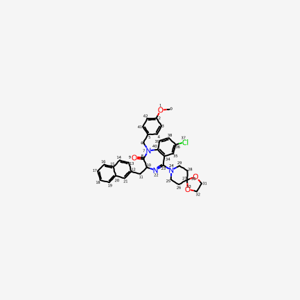 COc1ccc(CN2C(=O)C(Cc3ccc4ccccc4c3)N=C(N3CCC4(CC3)OCCO4)c3cc(Cl)ccc32)cc1